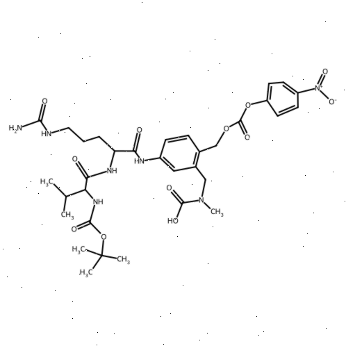 CC(C)C(NC(=O)OC(C)(C)C)C(=O)NC(CCCNC(N)=O)C(=O)Nc1ccc(COC(=O)Oc2ccc([N+](=O)[O-])cc2)c(CN(C)C(=O)O)c1